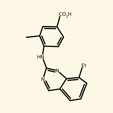 CCc1cccc2cnc(Nc3ccc(C(=O)O)cc3C)nc12